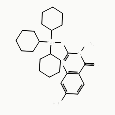 CCCCn1c([S][Sn]([CH]2CCCCC2)([CH]2CCCCC2)[CH]2CCCCC2)nc2cc(C(F)(F)F)ccc2c1=O